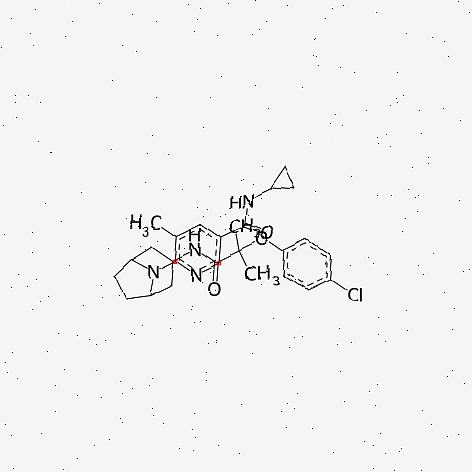 Cc1cc(C(=O)NC2CC2)cnc1N1C2CCC1CC(NC(=O)C(C)(C)Oc1ccc(Cl)cc1)C2